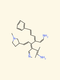 C\N=C/C(=C(\C=C\C1CCN(C)C1)C(/C=C\N)=C\C=C\c1ccccc1)C(/C)=C(\C)N